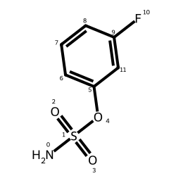 NS(=O)(=O)Oc1cccc(F)c1